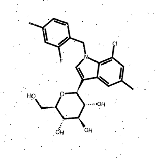 Cc1ccc(Cn2cc([C@@H]3O[C@H](CO)[C@@H](O)[C@H](O)[C@H]3O)c3cc(C)cc(Cl)c32)c(F)c1